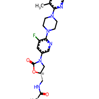 CC(=O)NC[C@H]1CN(c2cnc(N3CCN(c4nc(Cl)ncc4C)CC3)c(F)c2)C(=O)O1